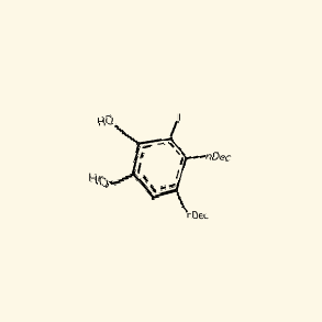 CCCCCCCCCCc1cc(O)c(O)c(I)c1CCCCCCCCCC